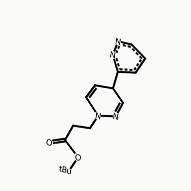 CC(C)(C)OC(=O)CCN1C=CC(c2cccnn2)C=N1